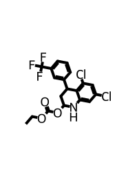 CCOC(=O)OC1CC(c2cccc(C(F)(F)F)c2)c2c(Cl)cc(Cl)cc2N1